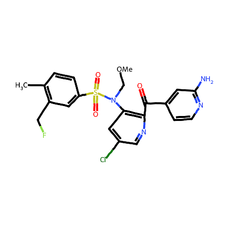 COCN(c1cc(Cl)cnc1C(=O)c1ccnc(N)c1)S(=O)(=O)c1ccc(C)c(CF)c1